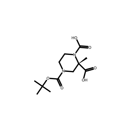 CC(C)(C)OC(=O)N1CCN(C(=O)O)[C@](C)(C(=O)O)C1